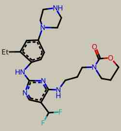 CCc1cc(N2CCNCC2)ccc1Nc1ncc(C(F)F)c(NCCCN2CCCOC2=O)n1